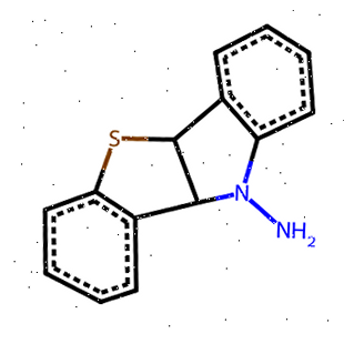 NN1c2ccccc2C2Sc3ccccc3C21